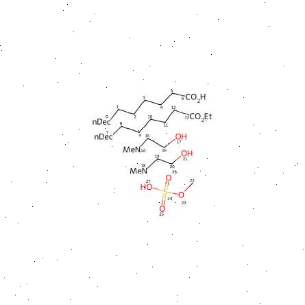 CCCCCCCCCCCCCCCC(=O)O.CCCCCCCCCCCCCCCC(=O)OCC.CNCCO.CNCCO.COS(=O)(=O)O